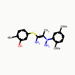 COc1ccc(OC)c(N(N)/C(C)=C(\N)Sc2ccc(C(C)(C)C)c(O)c2)c1